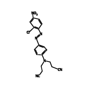 N#CCCN(CCC#N)c1ccc(/N=N/c2ccc([N+](=O)[O-])cc2Cl)cc1